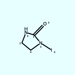 O=C1NCCN1I